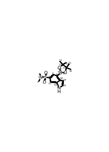 CN(C)S(=O)(=O)c1cc(B2OC(C)(C)C(C)(C)O2)c2cc[nH]c2c1